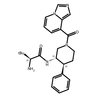 CC(C)(C)[C@H](N)C(=O)N[C@@H]1CN(C(=O)c2cccn3cncc23)CC[C@H]1c1ccccc1